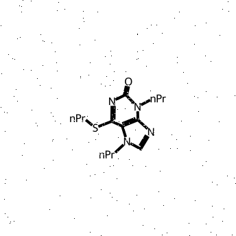 CCCSc1nc(=O)n(CCC)c2ncn(CCC)c12